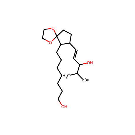 CCCCC(C)C(O)C=CC1CCC2(OCCO2)C1CCCCCCCO